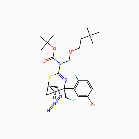 CC(C)(C)OC(=O)N(COCC[Si](C)(C)C)C1=N[C@](CF)(c2cc(Br)ccc2F)[C@@H]2C[C@]2(CN=[N+]=[N-])S1